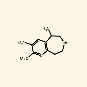 COc1nc2c(cc1[N+](=O)[O-])C(C)CNCC2